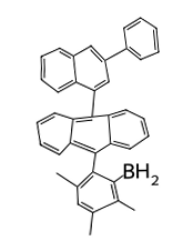 Bc1c(C)c(C)cc(C)c1-c1c2ccccc2c(-c2cc(-c3ccccc3)cc3ccccc23)c2ccccc12